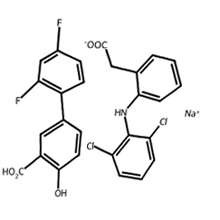 O=C(O)c1cc(-c2ccc(F)cc2F)ccc1O.O=C([O-])Cc1ccccc1Nc1c(Cl)cccc1Cl.[Na+]